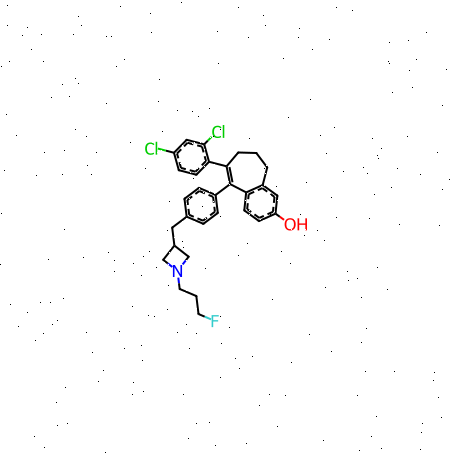 Oc1ccc2c(c1)CCCC(c1ccc(Cl)cc1Cl)=C2c1ccc(CC2CN(CCCF)C2)cc1